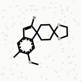 COc1cc2c(cc1C)C=C(Br)C21CCC2(CC1)OCCO2